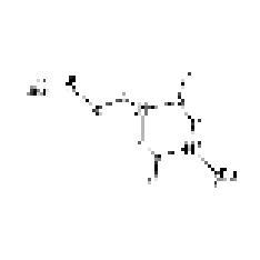 CC1CN(C(C)(C)C)C(C)CN1CCOC(C)(C)C